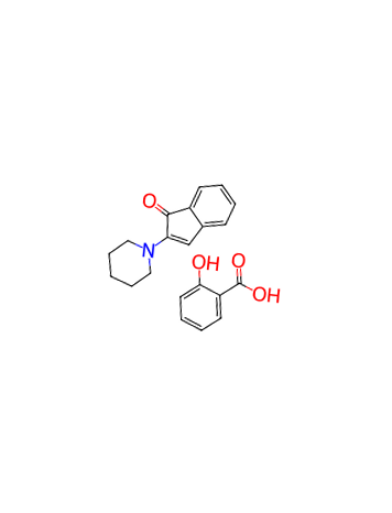 O=C(O)c1ccccc1O.O=C1C(N2CCCCC2)=Cc2ccccc21